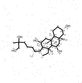 C[C@H](CCCC(C)(O)CO)[C@H]1CC[C@H]2[C@@H]3[C@H](O)C[C@H]4C[C@@H](O)CC[C@]4(C)[C@H]3C[C@H](O)[C@]12C